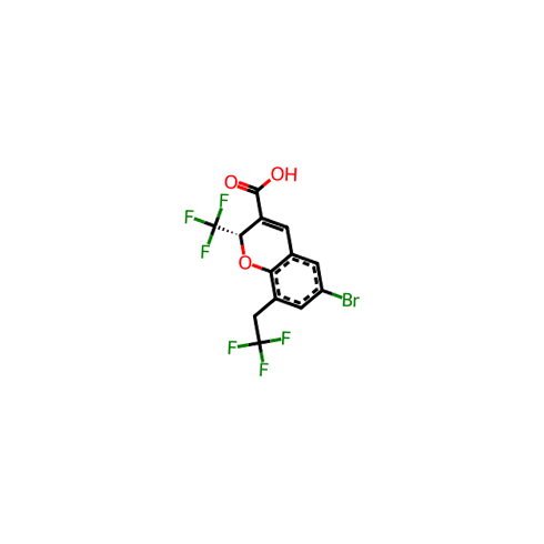 O=C(O)C1=Cc2cc(Br)cc(CC(F)(F)F)c2O[C@@H]1C(F)(F)F